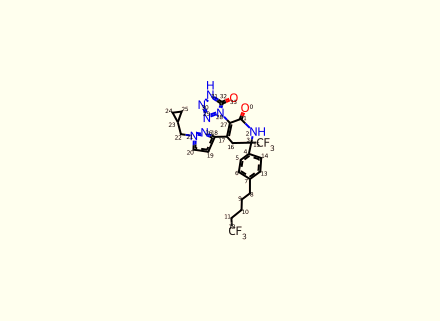 O=C1NC(c2ccc(CCCCC(F)(F)F)cc2)(C(F)(F)F)CC(c2ccn(CC3CC3)n2)=C1n1nn[nH]c1=O